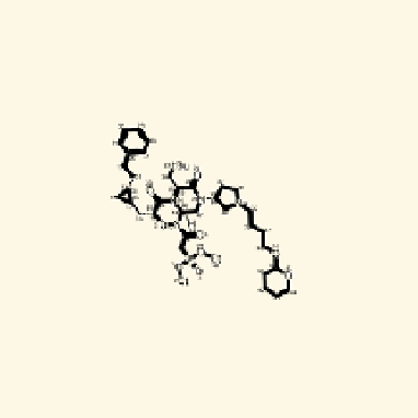 CCOP(=O)(CC(=O)N1O[C@H](C[C@H]2C[C@@H]2CCc2ccccc2)C(=O)N2[C@@H](CC(C)(C)C)C(=O)N([C@@H]3CCN(CCCCOC4CCCCO4)C3)C[C@@H]12)OCC